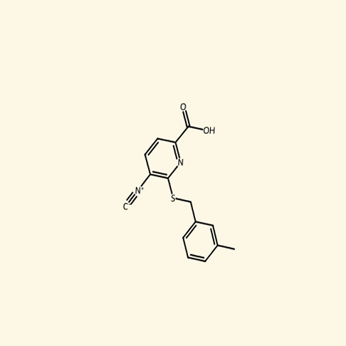 [C-]#[N+]c1ccc(C(=O)O)nc1SCc1cccc(C)c1